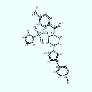 COc1ccc(C(=O)N2CCN(c3nc(-c4ccc(F)cc4)cs3)CC2)c(NS(=O)(=O)c2cccs2)c1